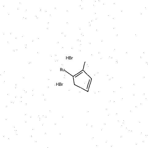 Br.Br.CC1=[C]([Ru])CC=C1